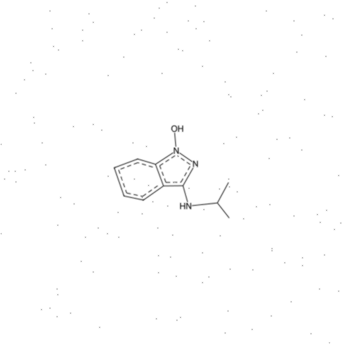 CC(C)Nc1nn(O)c2ccccc12